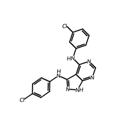 Clc1ccc(Nc2n[nH]c3ncnc(Nc4cccc(Cl)c4)c23)cc1